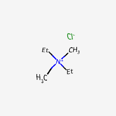 CC[N+](C)(C)CC.[Cl-]